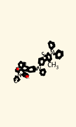 Cc1cc(N(c2ccccc2)c2ccccc2)cc2sc3ccc(N(c4ccccc4)c4ccc5c(c4)-c4ccccc4C54c5ccccc5N(c5ccccc5)c5ccccc54)cc3c12